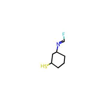 FC=NC1CCCC(S)C1